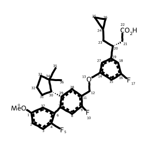 COc1ccc(F)c(-c2cc(F)c(COc3cc(F)cc([C@@H](CC(=O)O)CC4CC4)c3)cc2[C@@H]2CCCC2(C)C)c1